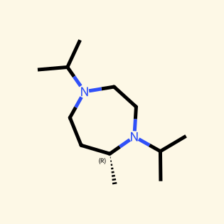 CC(C)N1CC[C@@H](C)N(C(C)C)CC1